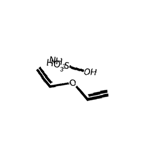 C=COC=C.N.O=S(=O)(O)O